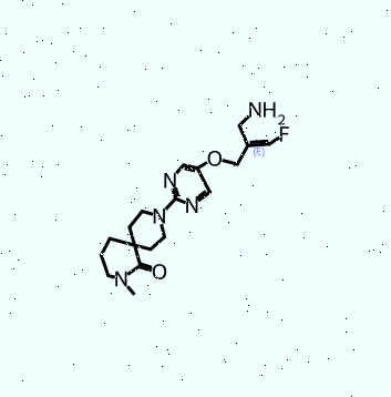 CN1CCCC2(CCN(c3ncc(OC/C(=C/F)CN)cn3)CC2)C1=O